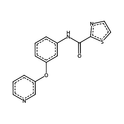 O=C(Nc1cccc(Oc2cccnc2)c1)c1nccs1